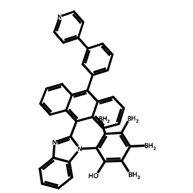 Bc1c(B)c(B)c(-n2c(-c3c4ccccc4c(-c4cccc(-c5ccncc5)c4)c4ccccc34)nc3ccccc32)c(O)c1B